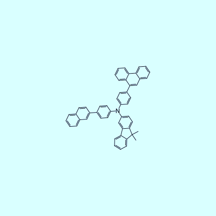 CC1(C)c2ccccc2-c2cc(N(c3ccc(-c4ccc5ccccc5c4)cc3)c3ccc(-c4cc5ccccc5c5ccccc45)cc3)ccc21